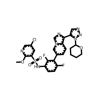 COc1ncc(Cl)cc1S(=O)(=O)Nc1ccc(F)c(-c2ccc3c(-c4cnnn4C4CCCCO4)ncn3c2)c1F